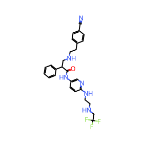 N#Cc1ccc(CCNCC(C(=O)Nc2ccc(NCCNCC(F)(F)F)nc2)c2ccccc2)cc1